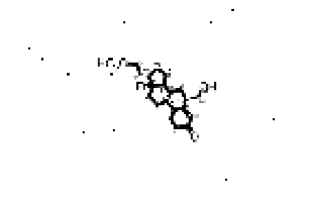 CCC12CCC3C4CCC(=O)C=C4[C@H](CO)CC3C1CC[C@H]2CCC(=O)O